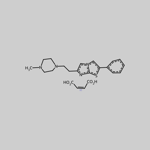 CN1CCN(CCc2cn3cc(-c4ccccc4)sc3n2)CC1.O=C(O)/C=C\C(=O)O